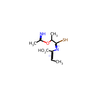 C/C=C(\N=C(\S)C(C)OC(C)=N)C(=O)O